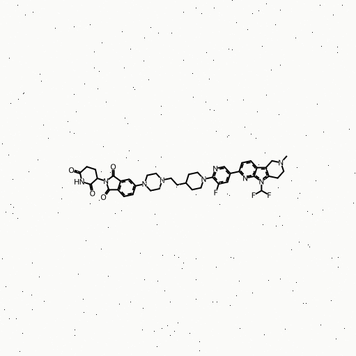 CN1CCc2c(c3ccc(-c4cnc(N5CCC(CCN6CCN(c7ccc8c(c7)C(=O)N(C7CCC(=O)NC7=O)C8=O)CC6)CC5)c(F)c4)nc3n2C(F)F)C1